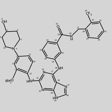 COc1cc(N2CCC(O)CC2)ccc1Nc1nc(Nc2cccc(C(=O)NCc3ccccc3C(F)(F)F)c2)c2nc[nH]c2n1